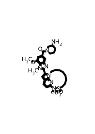 COc1cc(C(=O)N2CCC[C@@H](N)C2)cc2nc(-c3cc4ccc5nc4n3CCCCCCCCS(=O)(=O)N5C)n(C)c12